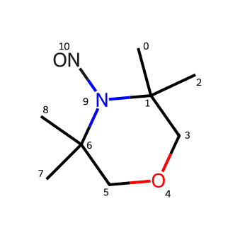 CC1(C)COCC(C)(C)N1N=O